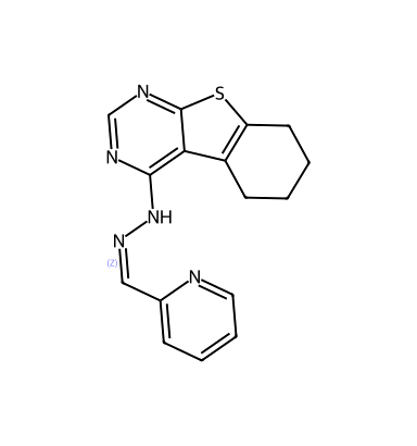 C(=N/Nc1ncnc2sc3c(c12)CCCC3)/c1ccccn1